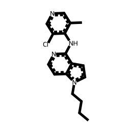 CCCCn1ccc2c(Nc3c(C)cncc3Cl)nccc21